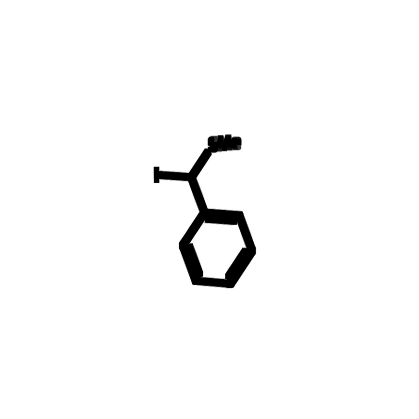 CSC(I)c1ccccc1